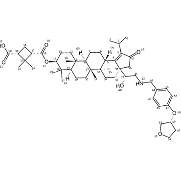 CC(C)C1=C2[C@H]3CC[C@@H]4[C@@]5(C)CC[C@H](OC(=O)[C@H]6C[C@@H](C(=O)O)C6(C)C)C(C)(C)[C@@H]5CC[C@@]4(C)[C@]3(C)CC[C@@]2([C@@H](O)CNCc2ccc(O[C@@H]3CCOC3)cc2)CC1=O